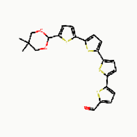 CC1(C)COC(c2ccc(-c3ccc(-c4ccc(-c5ccc(C=O)s5)s4)s3)s2)OC1